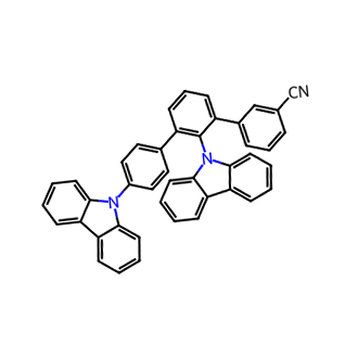 N#Cc1cccc(-c2cccc(-c3ccc(-n4c5ccccc5c5ccccc54)cc3)c2-n2c3ccccc3c3ccccc32)c1